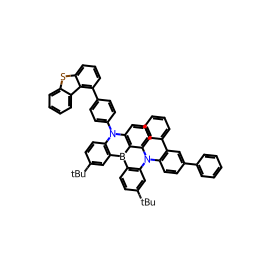 CC(C)(C)c1ccc2c(c1)B1c3ccc(C(C)(C)C)cc3N(c3ccc(-c4ccccc4)cc3-c3ccccc3)c3cccc(c31)N2c1ccc(-c2cccc3sc4ccccc4c23)cc1